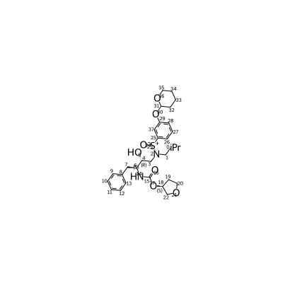 CC(C)CN(C[C@@H](O)[C@H](Cc1ccccc1)NC(=O)O[C@H]1CCOC1)[S+]([O-])c1cccc(OC2CCCCO2)c1